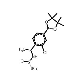 CC(C)(C)[S@+]([O-])N[C@H](c1ccc(B2OC(C)(C)C(C)(C)O2)cc1Cl)C(F)(F)F